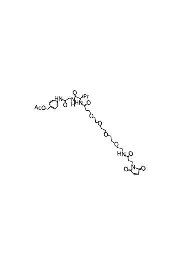 CC(=O)OCc1ccc(NC(=O)CNC(=O)C(NC(=O)CCOCCOCCOCCOCCNC(=O)CCN2C(=O)C=CC2=O)C(C)C)cc1